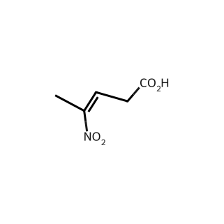 C/C(=C/CC(=O)O)[N+](=O)[O-]